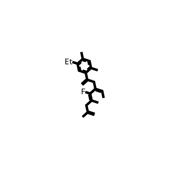 C=C(C)C/C(C)=C(F)/C(=C\C)CC(=C)c1cc(CC)c(C)cc1C